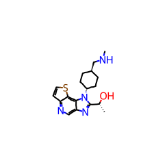 CNC[C@H]1CC[C@H](n2c([C@@H](C)O)nc3cnc4ccsc4c32)CC1